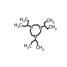 CCC(CC)N1CCN(C(CC)CC)CCN(C(CC)CC)CC1